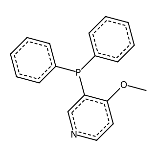 COc1ccncc1P(c1ccccc1)c1ccccc1